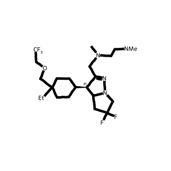 CCC1(COCC(F)(F)F)CCC([C@H]2C(CN(C)CCNC)=NN3CC(F)(F)CC23)CC1